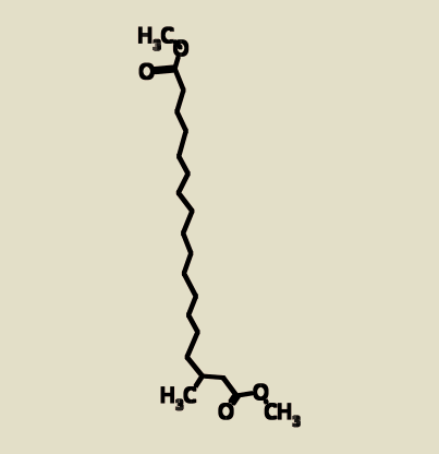 COC(=O)CCCCCCCCCCCCCCC(C)CC(=O)OC